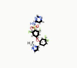 Cn1nccc1[C@H]1CCC(F)(F)C[C@@H]1Oc1cc(F)c(S(=O)(=O)Nc2ccncn2)c(F)c1